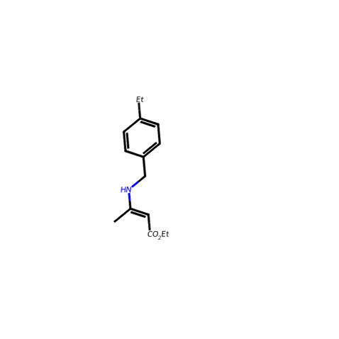 CCOC(=O)C=C(C)NCc1ccc(CC)cc1